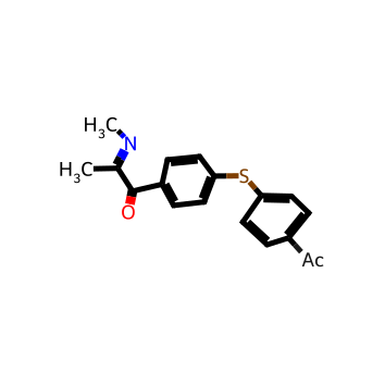 CN=C(C)C(=O)c1ccc(Sc2ccc(C(C)=O)cc2)cc1